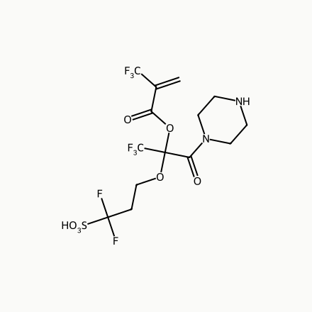 C=C(C(=O)OC(OCCC(F)(F)S(=O)(=O)O)(C(=O)N1CCNCC1)C(F)(F)F)C(F)(F)F